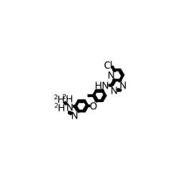 [2H]C([2H])([2H])n1cnc2cc(Oc3ccc(Nc4ncnc5ccc(Cl)nc45)cc3C)ccc21